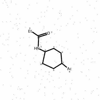 CCC(=O)NC1CCC(C(C)=O)CC1